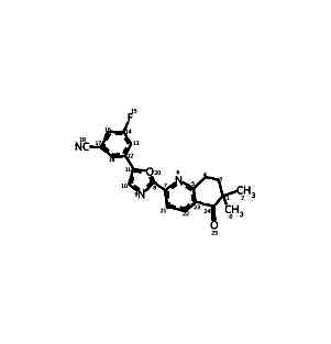 CC1(C)CCc2nc(-c3ncc(-c4cc(F)cc(C#N)c4)o3)ccc2C1=O